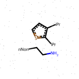 CC(C)c1ccsc1C(C)C.CCCCCCCCCCCN